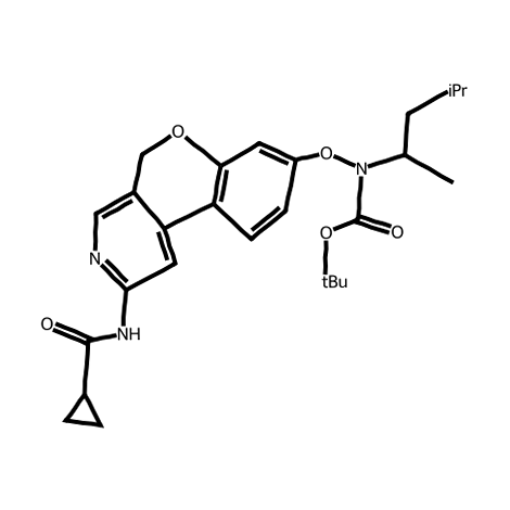 CC(C)CC(C)N(Oc1ccc2c(c1)OCc1cnc(NC(=O)C3CC3)cc1-2)C(=O)OC(C)(C)C